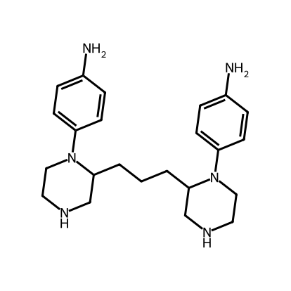 Nc1ccc(N2CCNCC2CCCC2CNCCN2c2ccc(N)cc2)cc1